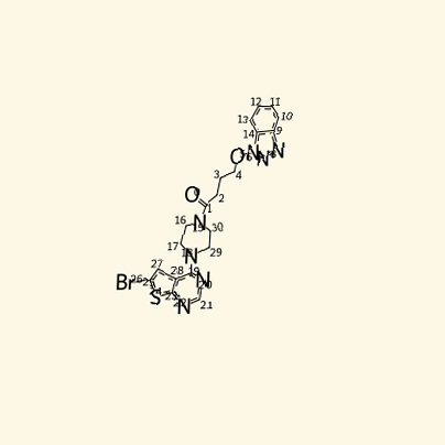 O=C(CCCOn1nnc2ccccc21)N1CCN(c2ncnc3sc(Br)cc23)CC1